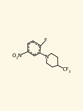 O=[N+]([O-])c1ccc(F)c(N2CCC(C(F)(F)F)CC2)c1